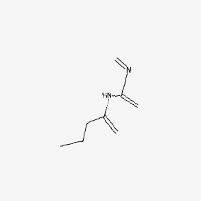 C=NC(=C)NC(=C)CCC